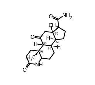 C[C@]12CCC(=O)NC1CC[C@@H]1[C@H]2C(=O)C[C@]2(C)C(C(N)=O)CC[C@@H]12